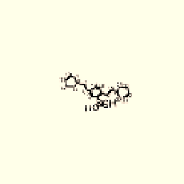 OB(O)c1cc(/C=C/c2ccccc2)ccc1/C=C/c1ccccc1